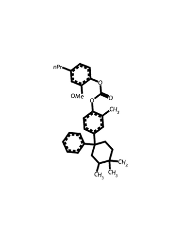 CCCc1ccc(OC(=O)Oc2ccc(C3(c4ccccc4)CCC(C)(C)C(C)C3)cc2C)c(OC)c1